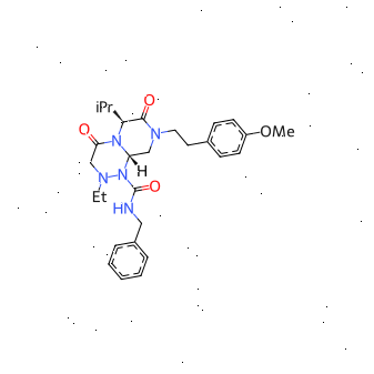 CCN1CC(=O)N2[C@@H](C(C)C)C(=O)N(CCc3ccc(OC)cc3)C[C@@H]2N1C(=O)NCc1ccccc1